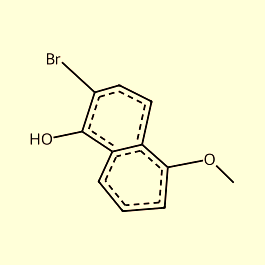 COc1cccc2c(O)c(Br)ccc12